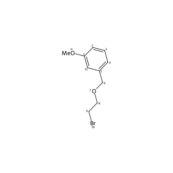 COc1cccc(COCCBr)c1